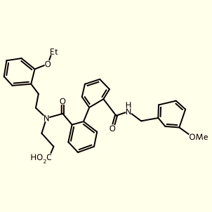 CCOc1ccccc1CCN(CCC(=O)O)C(=O)c1ccccc1-c1ccccc1C(=O)NCc1cccc(OC)c1